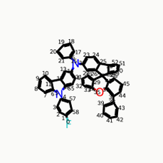 Fc1ccc(-n2c3ccccc3c3cc(N(c4ccccc4)c4ccc5c(c4)C4(c6ccccc6Oc6c(-c7ccccc7)cccc64)c4ccccc4-5)ccc32)cc1